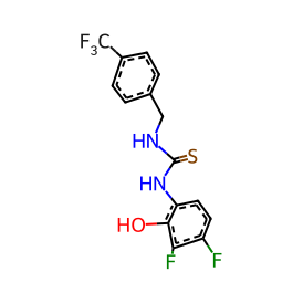 Oc1c(NC(=S)NCc2ccc(C(F)(F)F)cc2)ccc(F)c1F